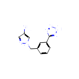 Nc1cnn(Cc2cccc(-c3nn[nH]n3)c2)c1